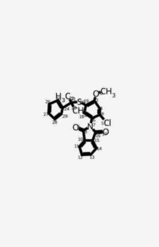 COc1cc(Cl)c(N2C(=O)c3ccccc3C2=O)cc1SC(C)(C)c1ccccc1